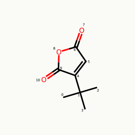 CC(C)(C)C1=CC(=O)OC1=O